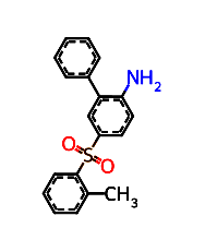 Cc1ccccc1S(=O)(=O)c1ccc(N)c(-c2ccccc2)c1